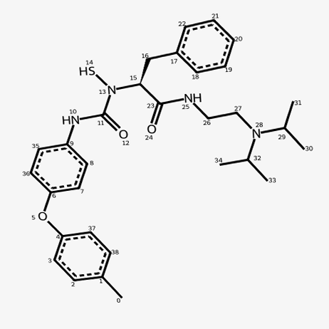 Cc1ccc(Oc2ccc(NC(=O)N(S)[C@@H](Cc3ccccc3)C(=O)NCCN(C(C)C)C(C)C)cc2)cc1